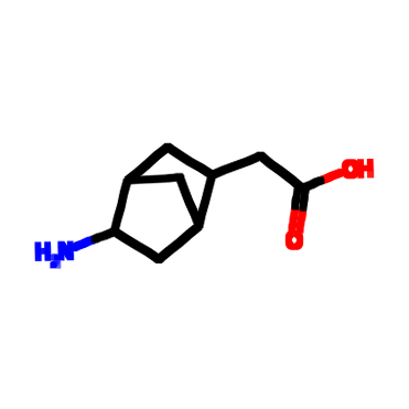 NC1CC2CC1CC2CC(=O)O